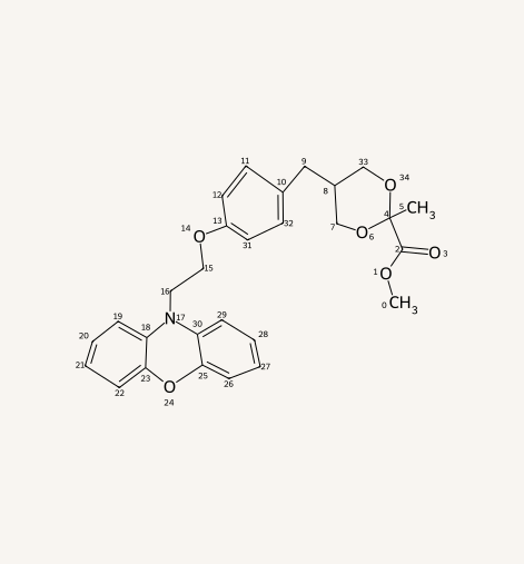 COC(=O)C1(C)OCC(Cc2ccc(OCCN3c4ccccc4Oc4ccccc43)cc2)CO1